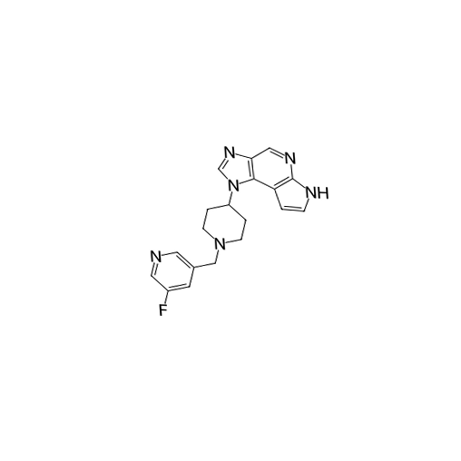 Fc1cncc(CN2CCC(n3cnc4cnc5[nH]ccc5c43)CC2)c1